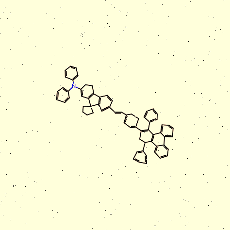 C1=C(/C=C/c2ccc3c(c2)C2(CCCC2)C2=C3CCC(N(c3ccccc3)c3ccccc3)=C2)CCC(C2=C(c3ccccc3)c3c(c4ccccc4c4ccccc34)C(c3ccccc3)C2)=C1